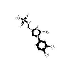 CS(=O)(=O)OC[C@H]1CN(c2ccc(C#N)c(C(F)(F)F)c2)[C@H](C(F)(F)F)O1